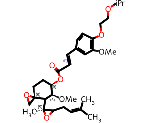 COc1cc(/C=C/C(=O)O[C@@H]2CC[C@]3(CO3)C([C@]3(C)OC3CC=C(C)C)[C@@H]2OC)ccc1OCCOC(C)C